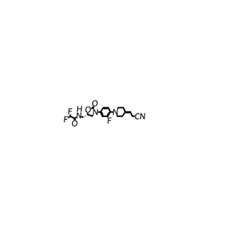 N#CCC=C1CCN(c2ccc(N3C[C@H](CNC(=O)C(F)F)OC3=O)cc2F)CC1